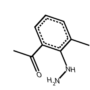 CC(=O)c1cccc(C)c1NN